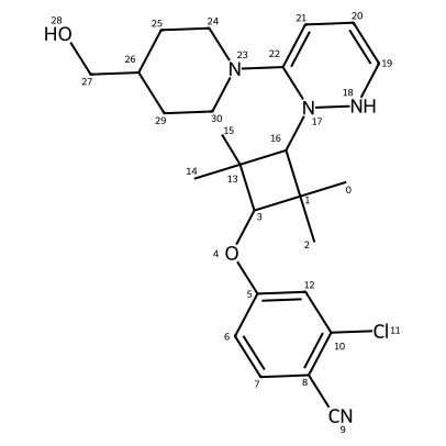 CC1(C)C(Oc2ccc(C#N)c(Cl)c2)C(C)(C)C1N1NC=CC=C1N1CCC(CO)CC1